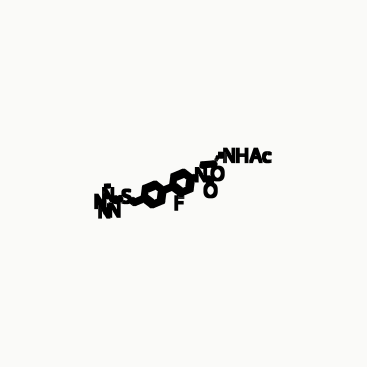 CC(=O)NC[C@H]1CN(c2ccc(-c3ccc(CSc4nnnn4C)cc3)c(F)c2)C(=O)O1